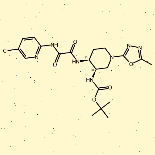 Cc1nnc(N2CC[C@H](NC(=O)C(=O)Nc3ccc(Cl)cn3)[C@H](NC(=O)OC(C)(C)C)C2)o1